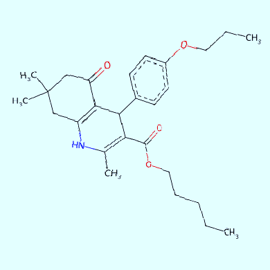 CCCCCOC(=O)C1=C(C)NC2=C(C(=O)CC(C)(C)C2)C1c1ccc(OCCC)cc1